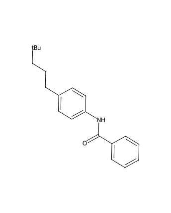 CC(C)(C)CCCc1ccc(NC(=O)c2ccccc2)cc1